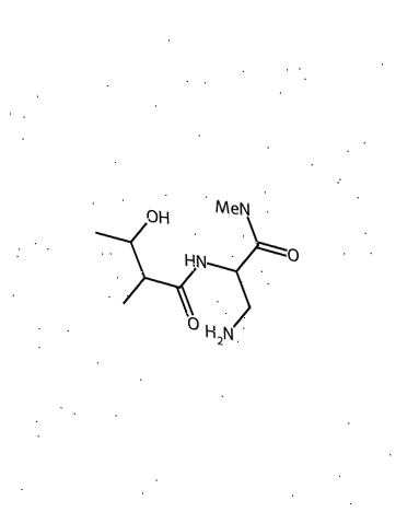 CNC(=O)C(CN)NC(=O)C(C)C(C)O